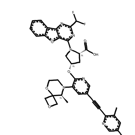 Cc1cnc(C#Cc2cnc(O[C@H]3C[C@@H](C(=O)O)N(c4nc(C(F)F)nc5c4oc4ccccc45)C3)c(N3CCOC4(COC4)[C@@H]3C)c2)c(C)c1